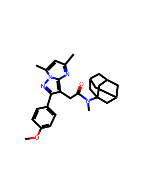 COc1ccc(-c2nn3c(C)cc(C)nc3c2CC(=O)N(C)C23CC4CC(CC(C4)C2)C3)cc1